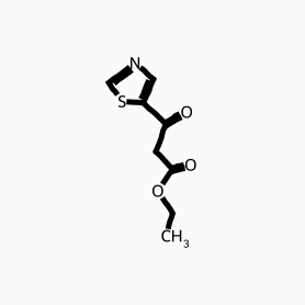 CCOC(=O)CC(=O)c1cncs1